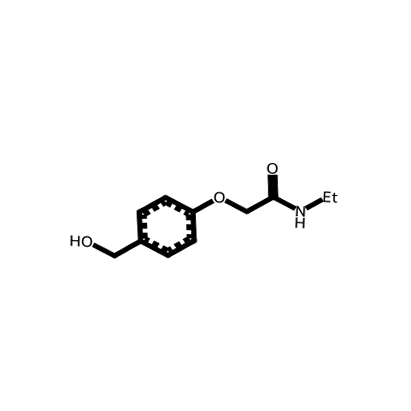 CCNC(=O)COc1ccc(CO)cc1